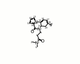 CN(C)C(=O)CCN1C(=O)c2cccn2C2=CC=C(F)CC21